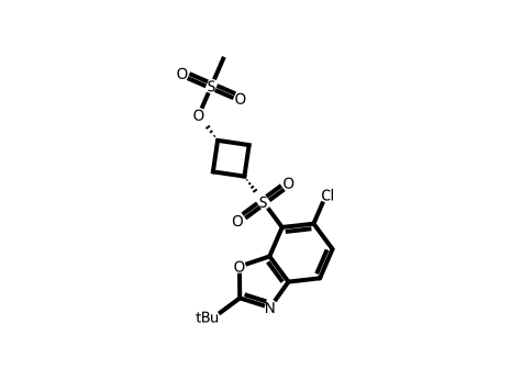 CC(C)(C)c1nc2ccc(Cl)c(S(=O)(=O)[C@H]3C[C@@H](OS(C)(=O)=O)C3)c2o1